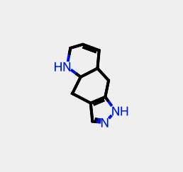 C1=CC2Cc3[nH]ncc3CC2NC1